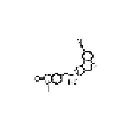 Cl.N#Cc1ccc2c(c1)C1CN(CCc3ccc4c(c3)CC(=O)N4)CC1CO2